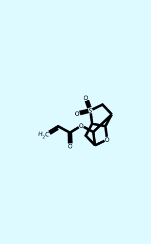 C=CC(=O)OC1C2CC3C(O2)C1CS3(=O)=O